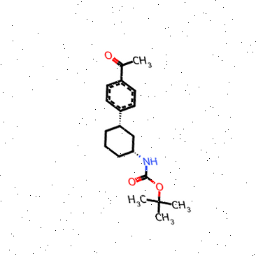 CC(=O)c1ccc([C@H]2CCC[C@@H](NC(=O)OC(C)(C)C)C2)cc1